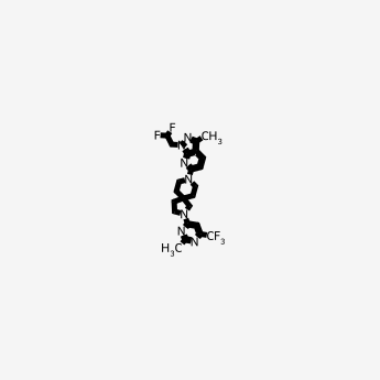 Cc1nc(N2CCC3(CCN(c4ccc5c(C)nn(CC(F)F)c5n4)CC3)C2)cc(C(F)(F)F)n1